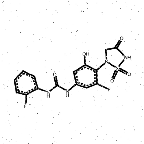 O=C1CN(c2c(O)cc(NC(=O)Nc3ccccc3F)cc2F)S(=O)(=O)N1